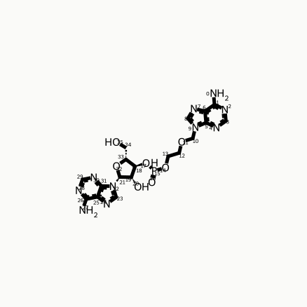 Nc1ncnc2c1ncn2COCCO[PH](=O)O[C@H]1[C@H](O)[C@H](n2cnc3c(N)ncnc32)O[C@@H]1CO